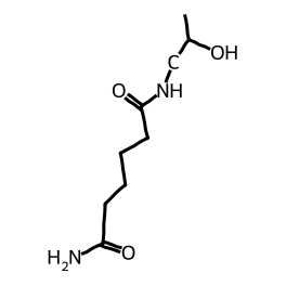 CC(O)CNC(=O)CCCCC(N)=O